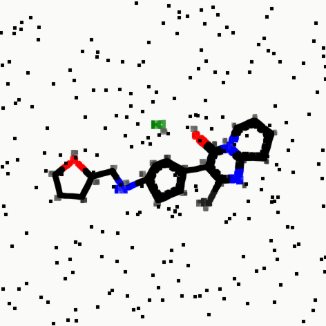 CCCCc1nc2ccccn2c(=O)c1-c1ccc(NCC2CCCO2)cc1.Cl